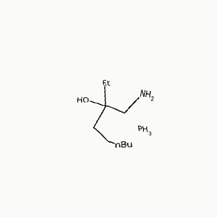 CCCCCC(O)(CC)CN.P